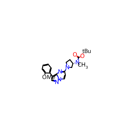 COc1ccccc1-c1cnn2ccc(N3CC[C@H](N(C)C(=O)OC(C)(C)C)C3)nc12